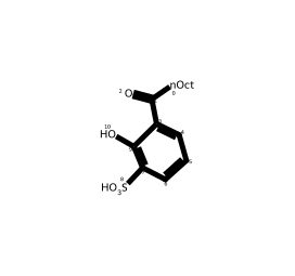 CCCCCCCCC(=O)c1cccc(S(=O)(=O)O)c1O